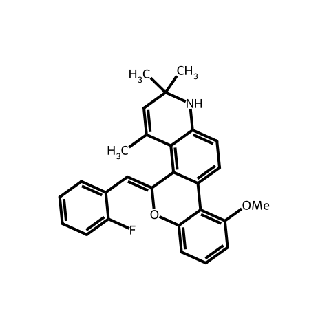 COc1cccc2c1-c1ccc3c(c1C(=Cc1ccccc1F)O2)C(C)=CC(C)(C)N3